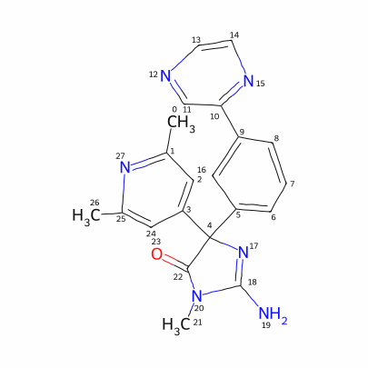 Cc1cc(C2(c3cccc(-c4cnccn4)c3)N=C(N)N(C)C2=O)cc(C)n1